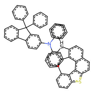 c1ccc(N(c2ccc(-c3cccc4sc5ccc6ccc7c(c6c5c34)-c3ccccc3[SiH]7c3ccccc3)cc2)c2ccc3c(c2)C(c2ccccc2)(c2ccccc2)c2ccccc2-3)cc1